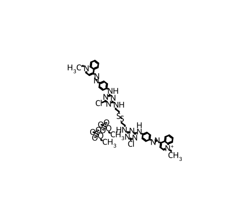 CCOS(=O)(=O)[O-].CCOS(=O)(=O)[O-].CC[n+]1ccc(/N=N/c2ccc(Nc3nc(Cl)nc(NCCSSCCNc4nc(Cl)nc(Nc5ccc(/N=N/c6cc[n+](CC)c7ccccc67)cc5)n4)n3)cc2)c2ccccc21